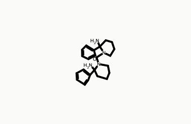 NC1(c2ccccc2)CCCCN1C(=O)N1CCCCC1(N)c1ccccc1